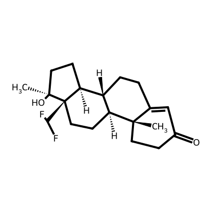 C[C@]12CCC(=O)C=C1CC[C@@H]1[C@@H]2CC[C@@]2(C(F)F)[C@H]1CC[C@]2(C)O